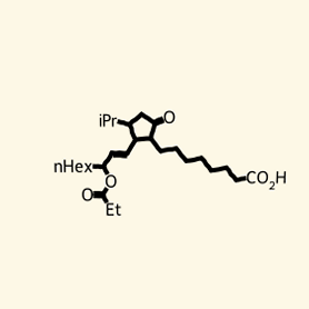 CCCCCCC(C=CC1C(CCCCCCCC(=O)O)C(=O)CC1C(C)C)OC(=O)CC